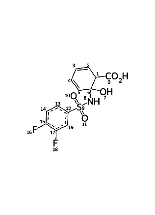 O=C(O)C1C=CC=CC1(O)NS(=O)(=O)c1ccc(F)c(F)c1